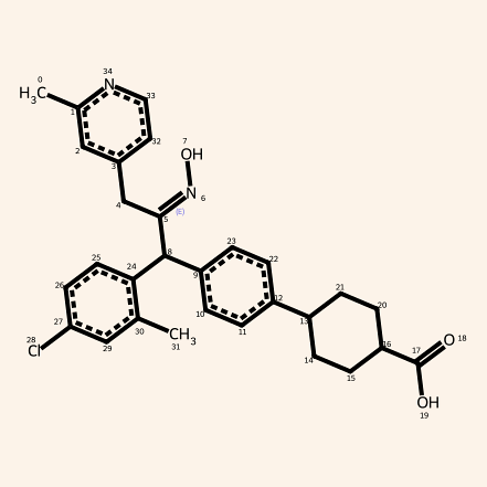 Cc1cc(C/C(=N\O)C(c2ccc(C3CCC(C(=O)O)CC3)cc2)c2ccc(Cl)cc2C)ccn1